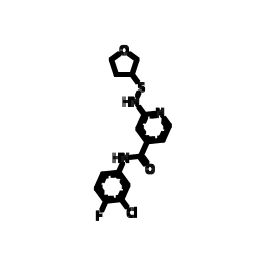 O=C(Nc1ccc(F)c(Cl)c1)c1ccnc(NSC2CCOC2)c1